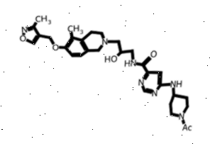 CC(=O)N1CCC(Nc2cc(C(=O)NCC(O)CN3CCc4c(ccc(OCc5conc5C)c4C)C3)ncn2)CC1